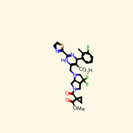 COC(=O)C1(C(=O)N2CC3C(C2)C(F)(F)CN3CC2=C(C(=O)O)C(c3cccc(F)c3C)N=C(c3nccs3)N2)CC1